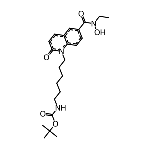 CCN(O)C(=O)c1ccc2c(ccc(=O)n2CCCCCCNC(=O)OC(C)(C)C)c1